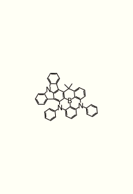 CC1(C)c2cccc3c2B2c4c(cccc4N(c4ccccc4)c4c2c1c1c2ccccc2n2c5ccccc5c4c12)N3c1ccccc1